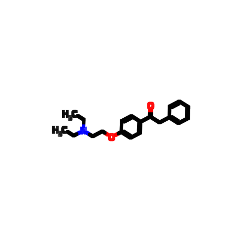 CCN(CC)CCOc1ccc(C(=O)Cc2ccccc2)cc1